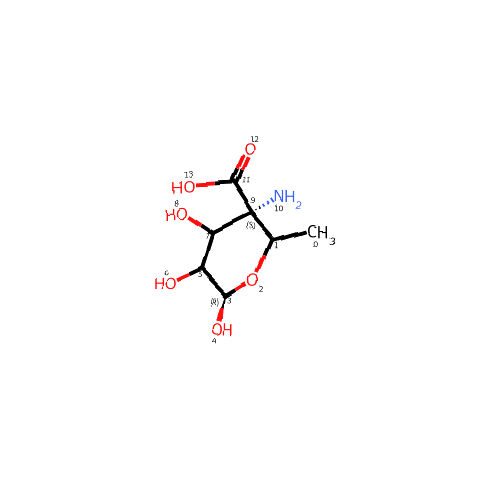 CC1O[C@@H](O)C(O)C(O)[C@@]1(N)C(=O)O